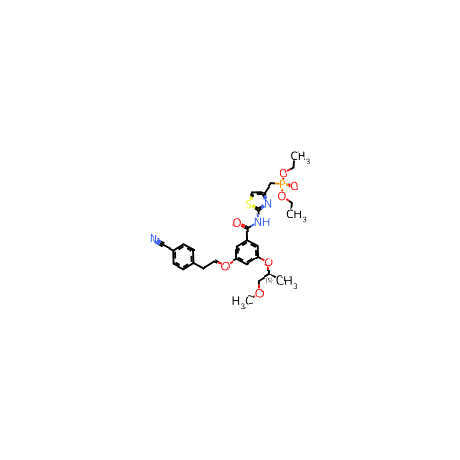 CCOP(=O)(Cc1csc(NC(=O)c2cc(OCCc3ccc(C#N)cc3)cc(O[C@@H](C)COC)c2)n1)OCC